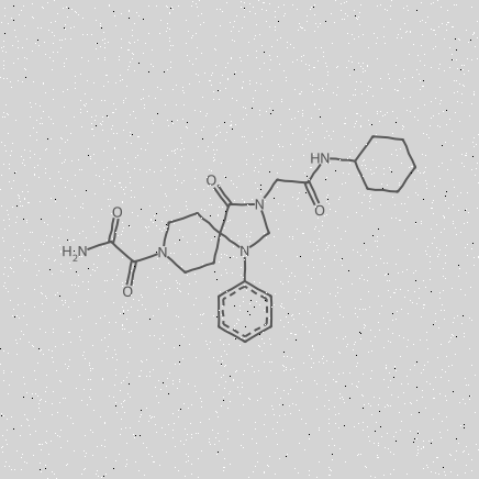 NC(=O)C(=O)N1CCC2(CC1)C(=O)N(CC(=O)NC1CCCCC1)CN2c1ccccc1